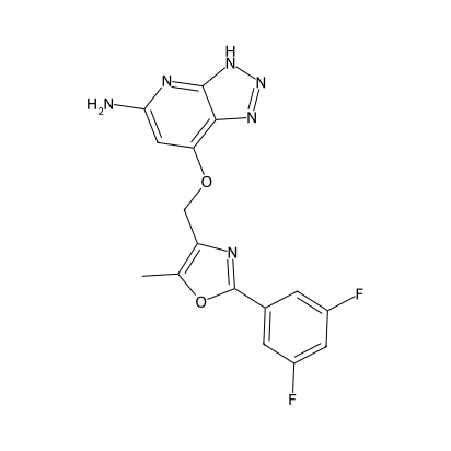 Cc1oc(-c2cc(F)cc(F)c2)nc1COc1cc(N)nc2[nH]nnc12